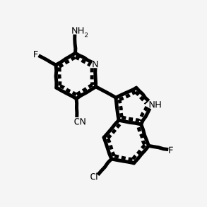 N#Cc1cc(F)c(N)nc1-c1c[nH]c2c(F)cc(Cl)cc12